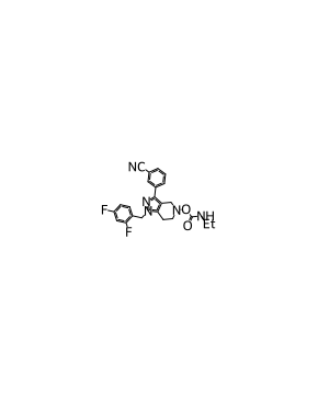 CCNC(=O)ON1CCc2c(c(-c3cccc(C#N)c3)nn2Cc2ccc(F)cc2F)C1